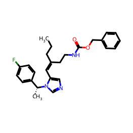 CCC/C(=C/c1cncn1[C@H](C)c1ccc(F)cc1)CCNC(=O)OCc1ccccc1